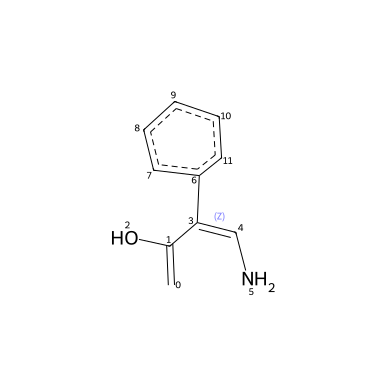 C=C(O)/C(=C\N)c1ccccc1